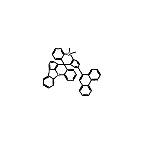 C[Si]1(C)c2ccccc2C2(c3ccccc3-n3c4ccccc4c4cccc2c43)c2cc(-c3cc4ccccc4c4ccccc34)ccc21